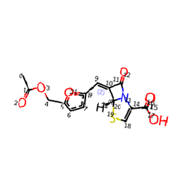 CC(=O)OCc1ccc(/C=C2/C(=O)N3C(C(=O)O)=CS[C@H]23)o1